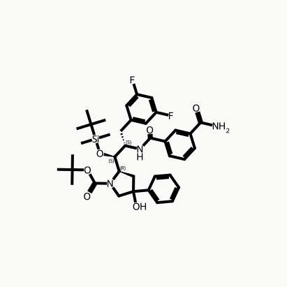 CC(C)(C)OC(=O)N1CC(O)(c2ccccc2)C[C@@H]1[C@@H](O[Si](C)(C)C(C)(C)C)[C@H](Cc1cc(F)cc(F)c1)NC(=O)c1cccc(C(N)=O)c1